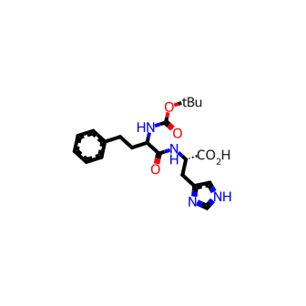 CC(C)(C)OC(=O)NC(CCc1ccccc1)C(=O)N[C@@H](Cc1c[nH]cn1)C(=O)O